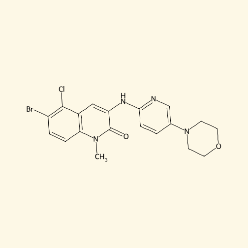 Cn1c(=O)c(Nc2ccc(N3CCOCC3)cn2)cc2c(Cl)c(Br)ccc21